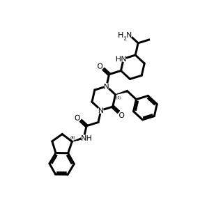 CC(N)C1CCCC(C(=O)N2CCN(CC(=O)N[C@@H]3CCc4ccccc43)C(=O)[C@@H]2Cc2ccccc2)N1